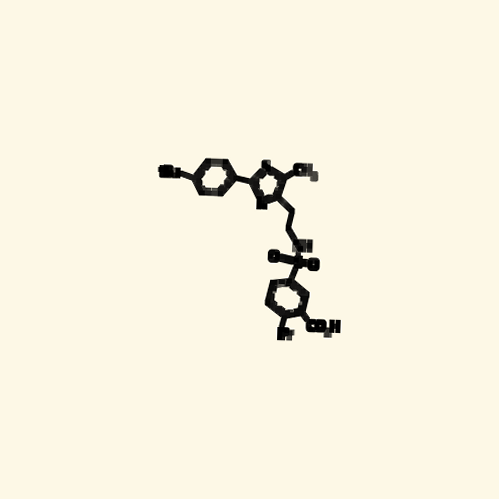 Cc1sc(-c2ccc(C(C)(C)C)cc2)nc1CCNS(=O)(=O)c1ccc(C(C)C)c(C(=O)O)c1